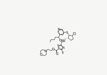 CCCCC(O)c1cncc(SC2C(Cl)CC[C@@H]2CCCc2nc(F)c(C(=O)OCCN3CCOCC3)s2)c1